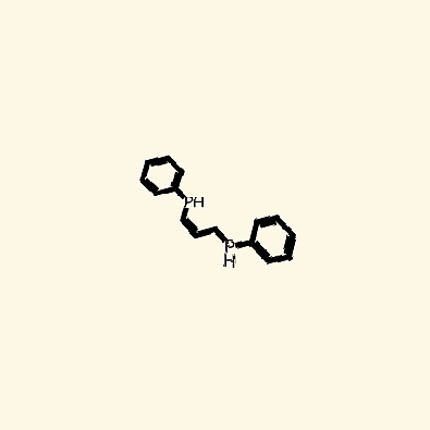 C(=C/Pc1ccccc1)/CPc1ccccc1